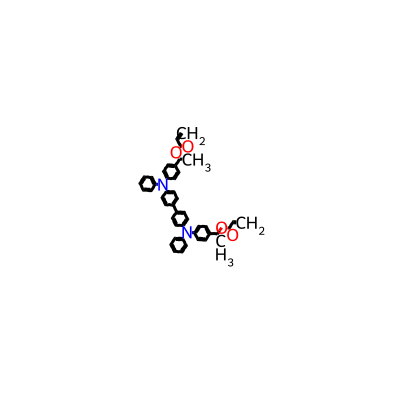 C=CC(=O)OC(C)c1ccc(N(c2ccccc2)c2ccc(-c3ccc(N(c4ccccc4)c4ccc(C(C)OC(=O)C=C)cc4)cc3)cc2)cc1